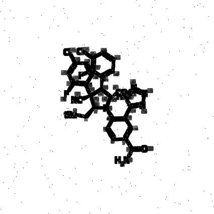 CC(C)(C)C[C@@H]1N(c2ccc(C(N)=O)cc2-c2nnn[nH]2)[C@@H](C(=O)O)[C@H](c2cccc(Cl)c2F)[C@@]1(C#N)c1ccc(Cl)cc1F